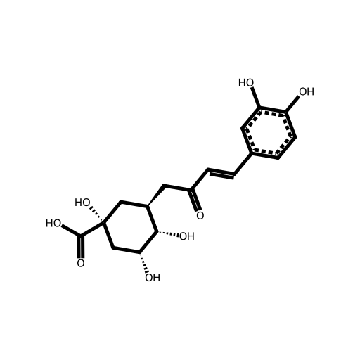 O=C(/C=C/c1ccc(O)c(O)c1)C[C@@H]1C[C@](O)(C(=O)O)C[C@@H](O)[C@H]1O